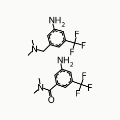 CN(C)C(=O)c1cc(N)cc(C(F)(F)F)c1.CN(C)Cc1cc(N)cc(C(F)(F)F)c1